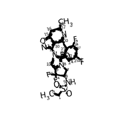 CCS(=O)(=O)N[C@@H]1Cn2c(cn(-c3noc4cc(C)nc(-c5c(F)cc(F)cc5F)c34)c2=O)C1(F)F